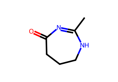 CC1=NC(=O)CCCN1